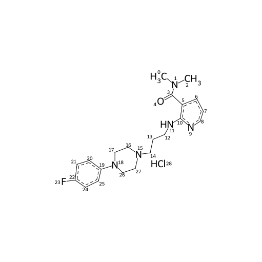 CN(C)C(=O)c1cccnc1NCCCN1CCN(c2ccc(F)cc2)CC1.Cl